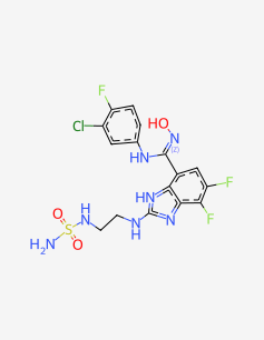 NS(=O)(=O)NCCNc1nc2c(F)c(F)cc(/C(=N/O)Nc3ccc(F)c(Cl)c3)c2[nH]1